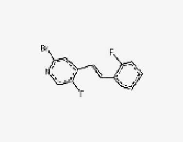 Fc1ccccc1C=Cc1cc(Br)ncc1F